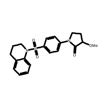 COC1CCN(c2ccc(S(=O)(=O)N3CCCc4ccccc43)cc2)C1=O